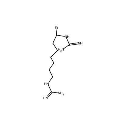 CCC(CCCCCCNC(=N)N)NC(=N)N